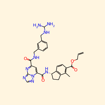 C=CCOC(=O)c1ccc2c(c1C)CC[C@@H]2NC(=O)c1cc(C(=O)NCc2cccc(CNC(N)N)c2)nc2ncnn12